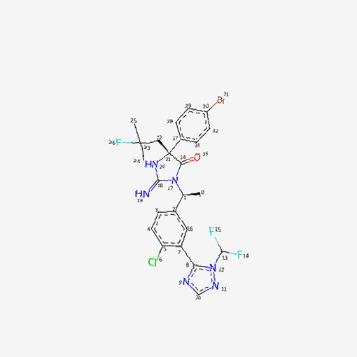 [CH2][C@@H](c1ccc(Cl)c(-c2ncnn2C(F)F)c1)N1C(=N)N[C@](CC(C)(C)F)(c2ccc(Br)cc2)C1=O